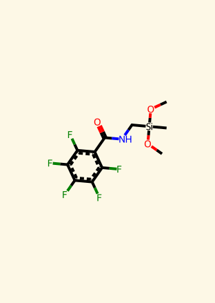 CO[Si](C)(CNC(=O)c1c(F)c(F)c(F)c(F)c1F)OC